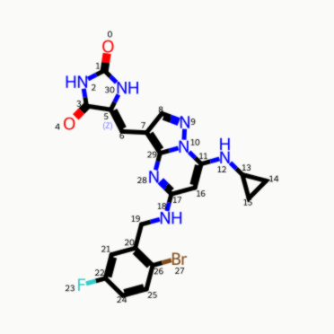 O=C1NC(=O)/C(=C/c2cnn3c(NC4CC4)cc(NCc4cc(F)ccc4Br)nc23)N1